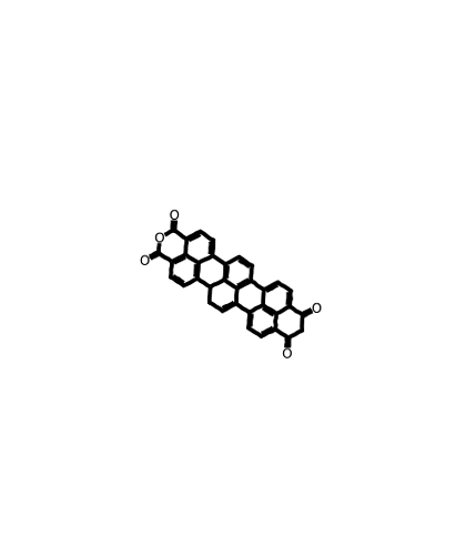 O=C1OC(=O)c2ccc3c4c(ccc1c24)-c1ccc2c4c1C3CC=c4c1ccc3c4c(ccc2c41)C(=O)CC3=O